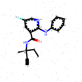 C#C[C@@](C)(CC)NC(=O)c1cc(F)cnc1Nc1ccccc1